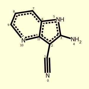 N#Cc1c(N)[nH]c2cccnc12